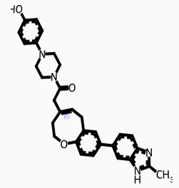 Cc1nc2ccc(-c3ccc4c(c3)C/C=C(/CC(=O)N3CCN(c5ccc(O)cc5)CC3)CCO4)cc2[nH]1